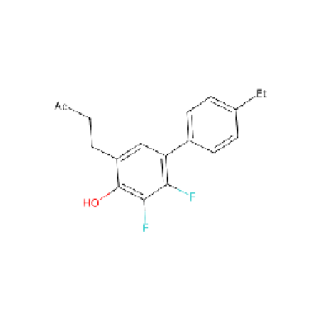 CCc1ccc(-c2cc(CCC(C)=O)c(O)c(F)c2F)cc1